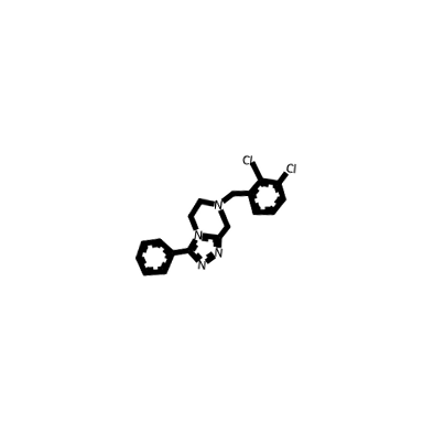 Clc1cccc(CN2CCn3c(nnc3-c3ccccc3)C2)c1Cl